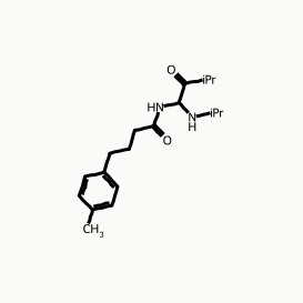 Cc1ccc(CCCC(=O)NC(NC(C)C)C(=O)C(C)C)cc1